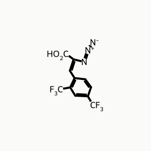 [N-]=[N+]=NC(=Cc1ccc(C(F)(F)F)cc1C(F)(F)F)C(=O)O